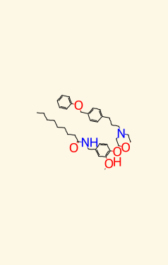 CCCCCCCCC(=O)NCc1ccc(O)c(OC)c1.c1ccc(OCc2ccc(CCCN3CCOCC3)cc2)cc1